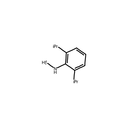 CC(C)c1cccc(C(C)C)c1[NH][Hf]